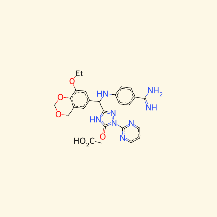 CC(=O)O.CCOc1cc(C(Nc2ccc(C(=N)N)cc2)c2nn(-c3ncccn3)c(=O)[nH]2)cc2c1OCOC2